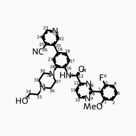 COc1cccc(F)c1-c1nccc(C(=O)Nc2ccc(-c3cnccc3C#N)cc2N2CCN(CCO)CC2)n1